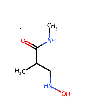 CNC(=O)C(C)CNO